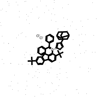 CC(C)(C)c1ccc2c(c1)Cc1c-2ccc(C(C)(C)C)[c]1[Zr+2]([C]1=CC(C23CC4CC(CC(C4)C2)C3)=CC1)=[C](c1ccccc1)c1ccccc1.[Cl-].[Cl-]